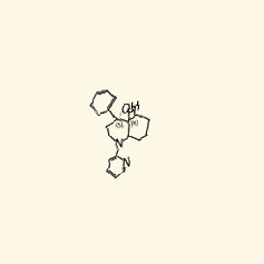 O[C@@]1(c2ccccc2)CCN(c2ccccn2)C2CCCC[C@H]21